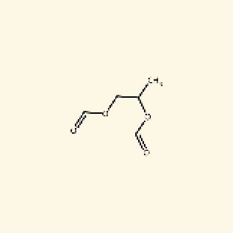 CC(COC=O)OC=O